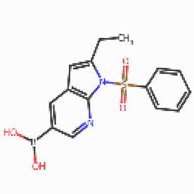 CCc1cc2cc(B(O)O)cnc2n1S(=O)(=O)c1ccccc1